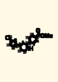 COC(=O)c1ccc(C2CC(c3ccc(Cl)s3)CCN2)cc1